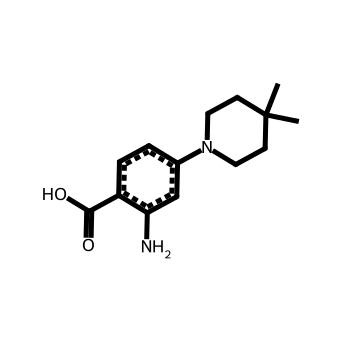 CC1(C)CCN(c2ccc(C(=O)O)c(N)c2)CC1